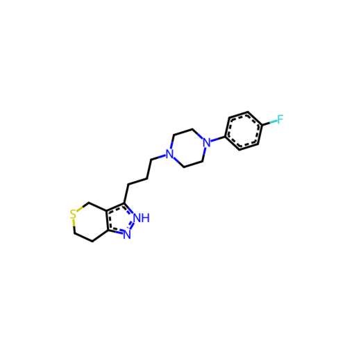 Fc1ccc(N2CCN(CCCc3[nH]nc4c3CSCC4)CC2)cc1